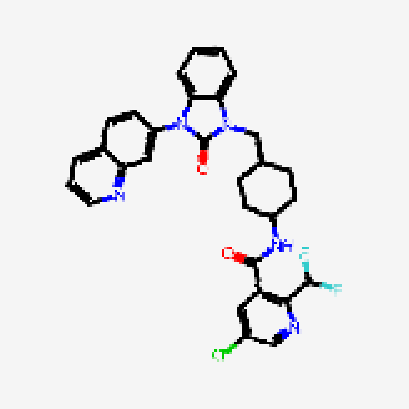 O=C(NC1CCC(Cn2c(=O)n(-c3ccc4cccnc4c3)c3ccccc32)CC1)c1cc(Cl)cnc1C(F)F